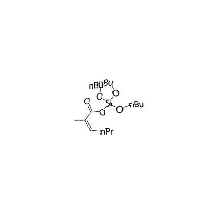 CCCC=C(C)C(=O)O[Si](OCCCC)(OCCCC)OCCCC